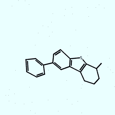 CC1CCCc2c1sc1ccc(-c3ccccc3)cc21